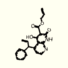 C=CCOC(=O)c1c(O)c2c(C(C=C)c3ccccc3)ccnc2[nH]c1=O